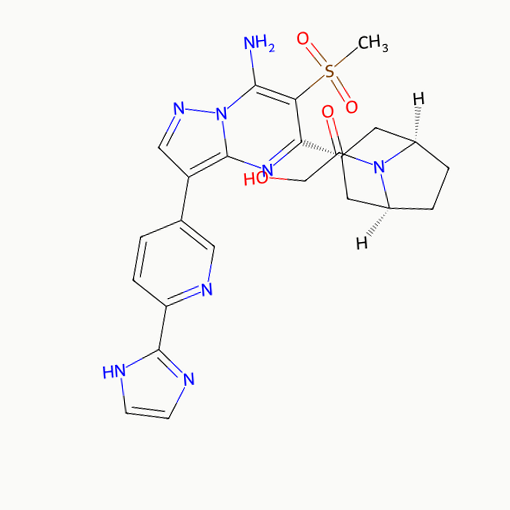 CS(=O)(=O)c1c([C@@H]2C[C@H]3CC[C@@H](C2)N3C(=O)CO)nc2c(-c3ccc(-c4ncc[nH]4)nc3)cnn2c1N